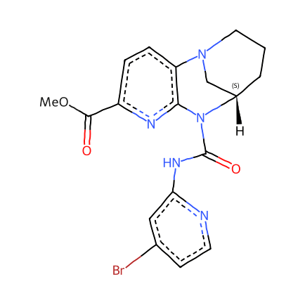 COC(=O)c1ccc2c(n1)N(C(=O)Nc1cc(Br)ccn1)[C@H]1CCCN2C1